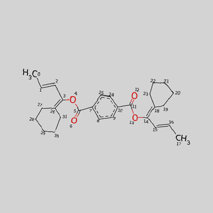 CC=CC(OC(=O)c1ccc(C(=O)OC(C=CC)=C2CCCCC2)cc1)=C1CCCCC1